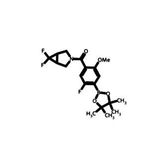 COc1cc(B2OC(C)(C)C(C)(C)O2)c(F)cc1C(=O)N1CC2C(C1)C2(F)F